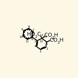 O=C(O)C1C=CC=C(c2ccccc2)C1(C(=O)O)C(=O)O